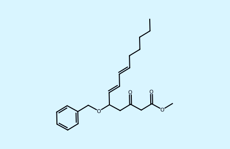 CCCCCC=CC=CC(CC(=O)CC(=O)OC)OCc1ccccc1